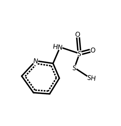 O=S(=O)(Nc1ccccn1)SS